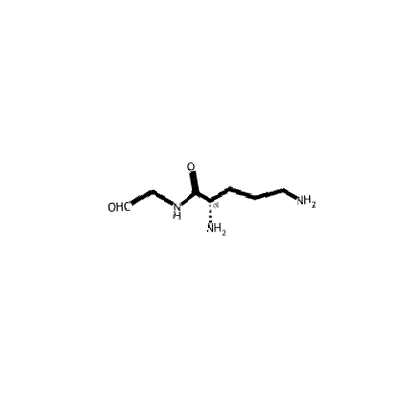 NCCC[C@H](N)C(=O)NCC=O